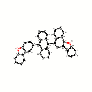 c1ccc2c(c1)oc1ccc(-c3c4ccccc4c(-c4cc5c6ccccc6oc5c5ccccc45)c4ccccc34)cc12